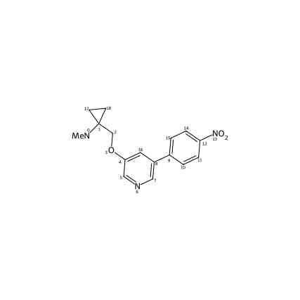 CNC1(COc2cncc(-c3ccc([N+](=O)[O-])cc3)c2)CC1